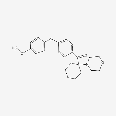 COc1ccc(Sc2ccc(C(=O)C3(N4CCOCC4)CCCCC3)cc2)cc1